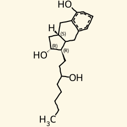 CCCCCC(O)CC[C@@H]1C2Cc3cccc(O)c3C[C@H]2C[C@H]1O